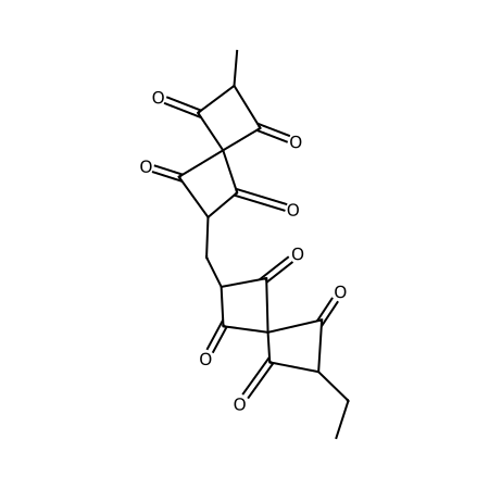 CCC1C(=O)C2(C1=O)C(=O)C(CC1C(=O)C3(C(=O)C(C)C3=O)C1=O)C2=O